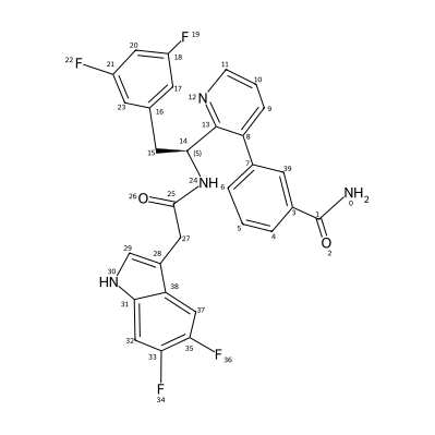 NC(=O)c1cccc(-c2cccnc2[C@H](Cc2cc(F)cc(F)c2)NC(=O)Cc2c[nH]c3cc(F)c(F)cc23)c1